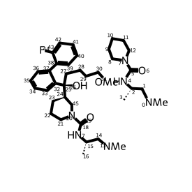 CNC[C@H](C)NC(=O)N1CCCCC1.CNC[C@H](C)NC(=O)N1CCC[C@@H]([C@@](O)(CCCCOC)c2ccccc2-c2ccccc2F)C1